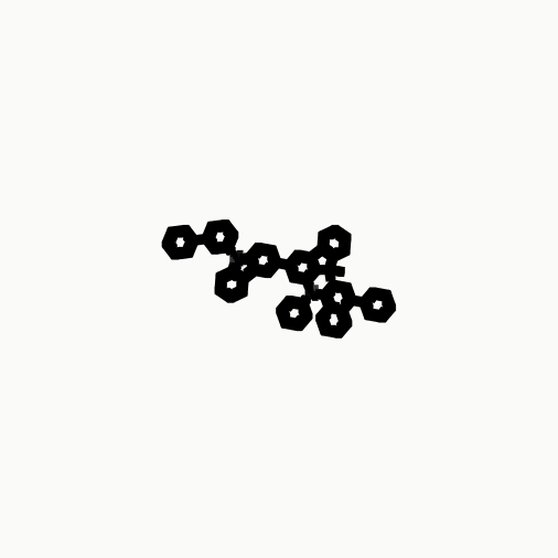 CC1(C)c2ccccc2-c2cc(-c3ccc4c(c3)c3ccccc3n4-c3cccc(-c4ccccc4)c3)cc(N(c3ccccc3)c3ccc(-c4ccccc4)c4ccccc34)c21